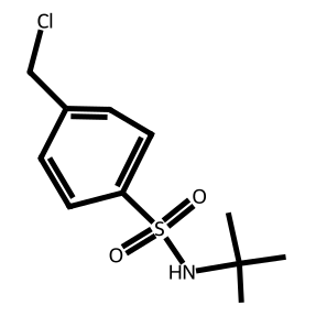 CC(C)(C)NS(=O)(=O)c1ccc(CCl)cc1